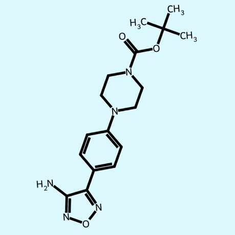 CC(C)(C)OC(=O)N1CCN(c2ccc(-c3nonc3N)cc2)CC1